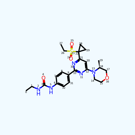 CCNC(=O)Nc1ccc(-c2nc(N3CCOC[C@@H]3C)cc(C3(S(=O)(=O)CC)CC3)n2)cc1